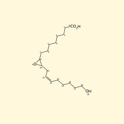 O=C(O)CCCCCCCC1OC1C/C=C\CCCCCO